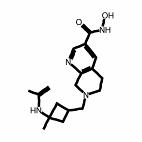 C=C(C)NC1(C)CC(CN2CCc3cc(C(=O)NO)cnc3C2)C1